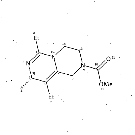 CCC1=N[C@@H](C)C(CC)=C2CN(C(=O)OC)CCN12